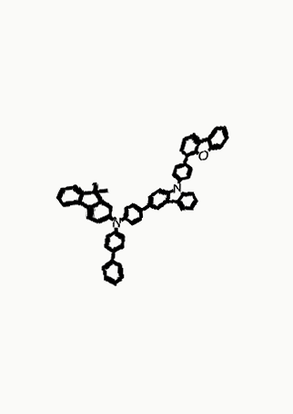 CC1(C)c2ccccc2-c2ccc(N(c3ccc(-c4ccccc4)cc3)c3ccc(-c4ccc5c(c4)c4ccccc4n5-c4ccc(-c5cccc6c5oc5ccccc56)cc4)cc3)cc21